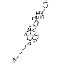 CN(C)CCCCCCOc1cc2ncnc(Oc3ccc(NC(=O)NCc4ccc(F)cc4)cc3F)c2c2c1OCCO2